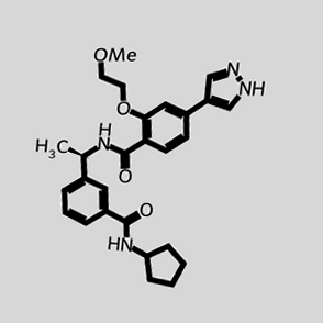 COCCOc1cc(-c2cn[nH]c2)ccc1C(=O)N[C@H](C)c1cccc(C(=O)NC2CCCC2)c1